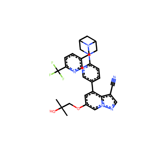 CC(C)(O)COc1cc(-c2ccc(N3CC4CC(C3)N4Cc3ccc(C(F)(F)F)nc3)nc2)c2c(C#N)cnn2c1